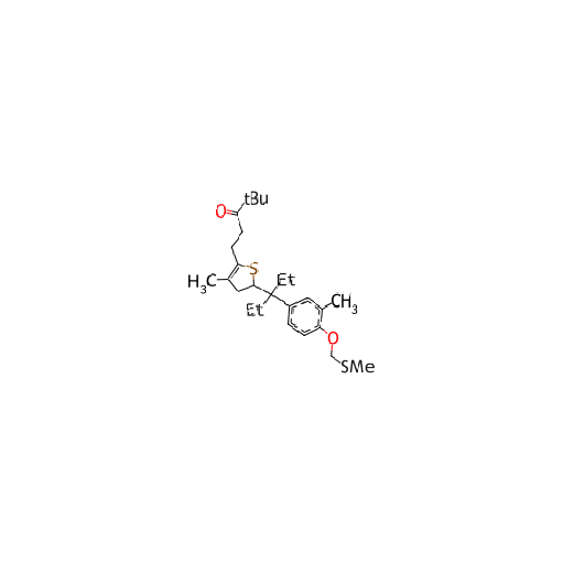 CCC(CC)(c1ccc(OCSC)c(C)c1)C1CC(C)=C(CCC(=O)C(C)(C)C)S1